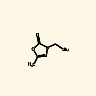 Cc1cn(CC(C)(C)C)c(=O)o1